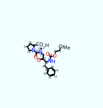 COCCOC(=O)N[C@@H](Cc1ccccc1)C(=O)CN(C)C(=O)N1CCC[C@H]1C(=O)O